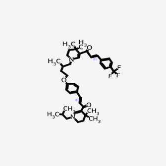 CC(C)CN1C=C(C(=O)/C=C/c2ccc(OCCC(C)CN3C=C(C(=O)/C=C/c4ccc(C(F)(F)F)cc4)C(C)(C)CC3)cc2)C(C)(C)CC1